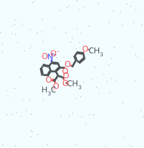 COC(=O)C(C(=O)OC)c1c(C(=O)OCc2ccc(OC)cc2)cc([N+](=O)[O-])c2ccccc12